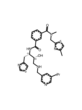 Cc1csc(CN(C)C(=O)c2cccc(C(=O)N[C@@H](Cc3cscn3)[C@H](O)CNCc3cncc(C(C)C)c3)c2)n1